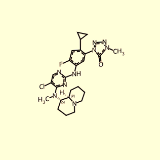 CN(c1nc(Nc2cc(-n3nnn(C)c3=O)c(C3CC3)cc2F)ncc1Cl)[C@H]1CCCN2CCCC[C@H]12